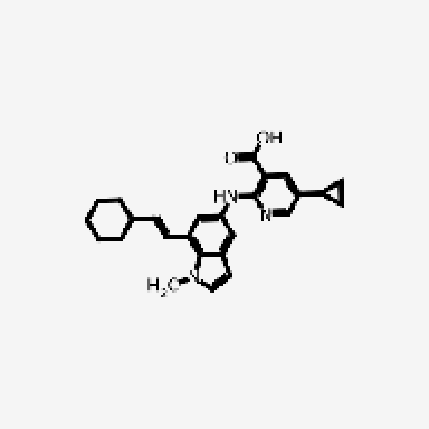 Cn1ccc2cc(Nc3ncc(C4CC4)cc3C(=O)O)cc(C=CC3CCCCC3)c21